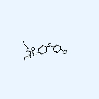 CCCSP(=O)(OCC)Oc1ccc(Sc2ccc(Cl)cc2)cc1